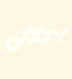 CCC(=O)Oc1cnc2cc(-c3ccccc3)ccc2c1